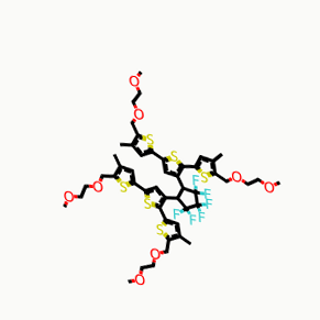 COCCOCc1sc(-c2cc(C3C(c4cc(-c5cc(C)c(COCCOC)s5)sc4-c4cc(C)c(COCCOC)s4)C(F)(F)C(F)(F)C3(F)F)c(-c3cc(C)c(COCCOC)s3)s2)cc1C